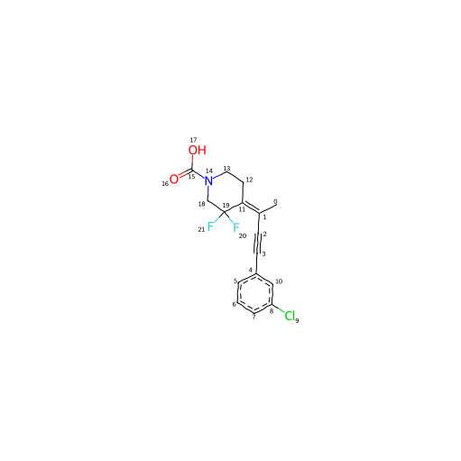 CC(C#Cc1cccc(Cl)c1)=C1CCN(C(=O)O)CC1(F)F